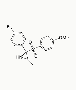 COc1ccc(S(=O)(=O)C2(c3ccc(Br)cc3)NC2C)cc1